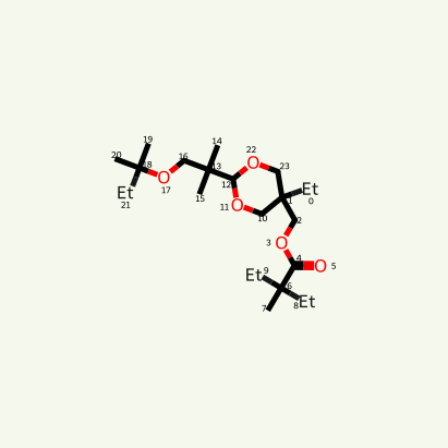 CCC1(COC(=O)C(C)(CC)CC)COC(C(C)(C)COC(C)(C)CC)OC1